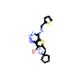 NC1(Cc2sc3c(NCc4cccs4)nnnc3c2Br)CCCC1